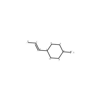 [CH2]C=CC1CCC(F)CC1